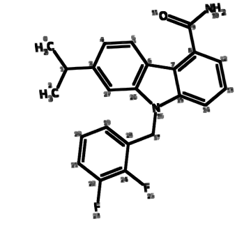 CC(C)c1c[c]c2c3c(C(N)=O)cccc3n(Cc3cccc(F)c3F)c2c1